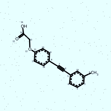 Cc1cccc(C#Cc2ccc(OCC(=O)O)cc2)c1